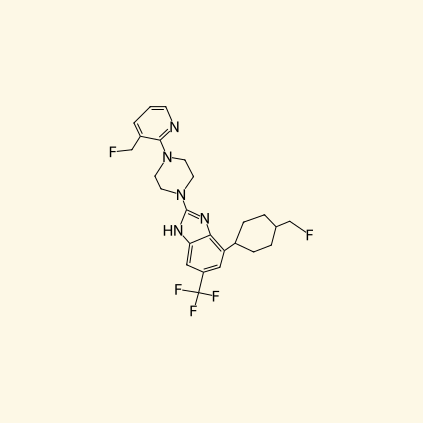 FCc1cccnc1N1CCN(c2nc3c(C4CCC(CF)CC4)cc(C(F)(F)F)cc3[nH]2)CC1